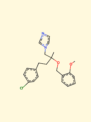 COc1ccccc1COC(C)(CCc1ccc(Cl)cc1)Cn1ccnc1